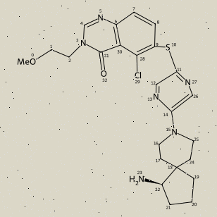 COCCn1cnc2ccc(Sc3cnc(N4CCC5(CCC[C@H]5N)CC4)cn3)c(Cl)c2c1=O